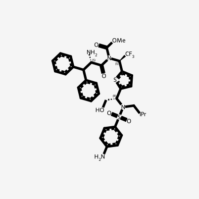 COC(=O)N(C(=O)[C@@H](N)C(c1ccccc1)c1ccccc1)[C@H](c1ccc([C@@H](CO)N(CC(C)C)S(=O)(=O)c2ccc(N)cc2)s1)C(F)(F)F